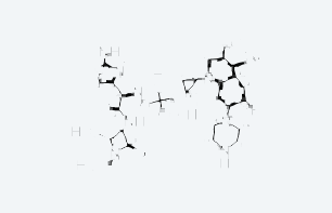 C[C@H]1[C@H](NC(=O)/C(=N\OC(C)(C)C(=O)O)c2csc(N)n2)C(=O)N1S(=O)(=O)O.O=C(O)c1cn(C2CC2)c2cc(N3CCNCC3)c(F)cc2c1=O